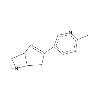 Cc1ccc(C2=CC3CNC3C2)cn1